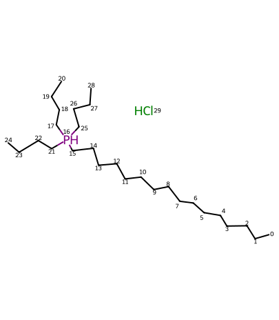 CCCCCCCCCCCCCCCC[PH](CCCC)(CCCC)CCCC.Cl